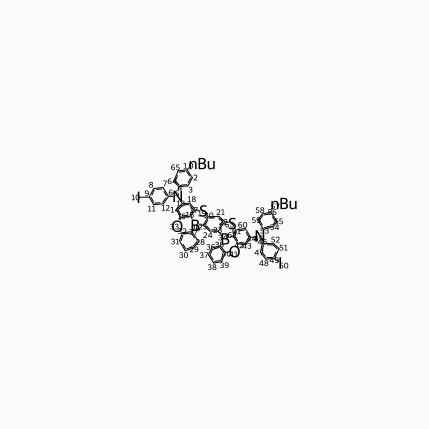 CCCCc1ccc(N(c2ccc(I)cc2)c2cc3c4c(c2)Sc2cc5c(cc2B4c2ccccc2O3)B2c3ccccc3Oc3cc(N(c4ccc(I)cc4)c4ccc(CCCC)cc4)cc(c32)S5)cc1